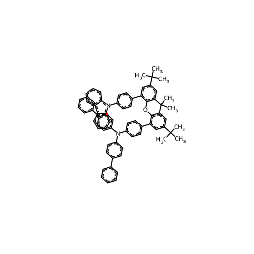 CC(C)(C)c1cc(-c2ccc(N(c3ccc(-c4ccccc4)cc3)c3ccc(-c4ccccc4)cc3)cc2)c2c(c1)C(C)(C)c1cc(C(C)(C)C)cc(-c3ccc(-n4c5ccccc5c5ccccc54)cc3)c1O2